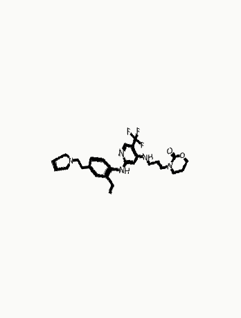 CCc1cc(CCN2CCCC2)ccc1Nc1cc(NCCCN2CCCOC2=O)c(C(F)(F)F)cn1